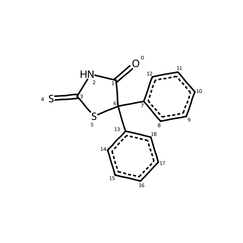 O=C1NC(=S)SC1(c1ccccc1)c1ccccc1